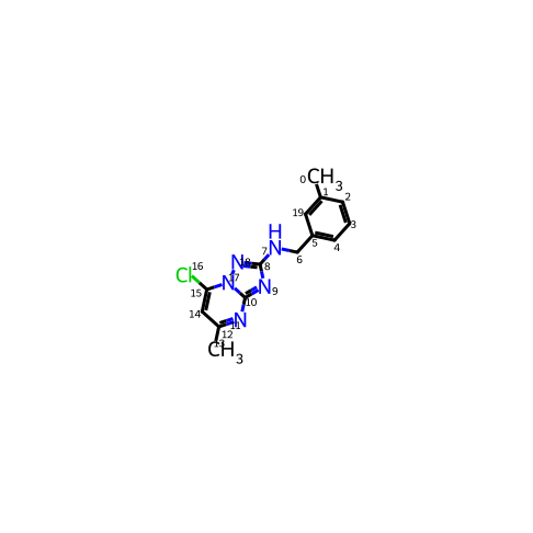 Cc1cccc(CNc2nc3nc(C)cc(Cl)n3n2)c1